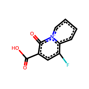 O=C(O)c1cc(F)c2ccccn2c1=O